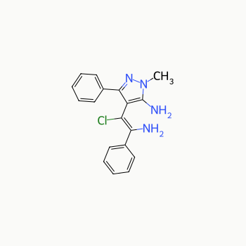 Cn1nc(-c2ccccc2)c(/C(Cl)=C(\N)c2ccccc2)c1N